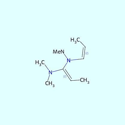 C/C=C\N(NC)/C(=C\C)N(C)C